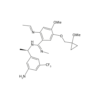 C/C=N/c1cc(OC)c(OCC2(OC)CC2)cc1/C(=N\C)N[C@H](C)c1cc(N)cc(C(F)(F)F)c1